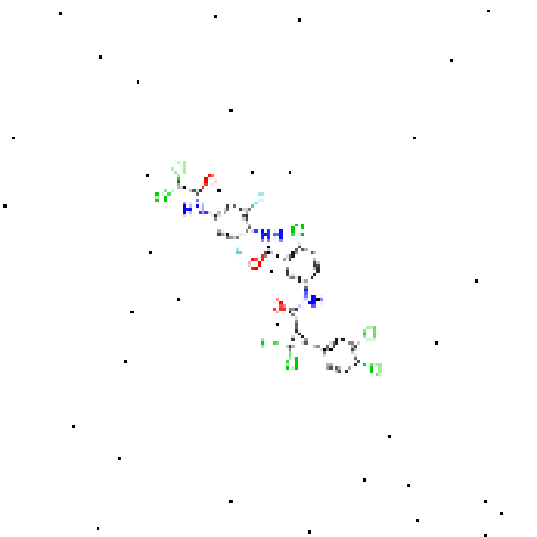 O=C(Nc1c(F)cc(NC(=O)C(Cl)Cl)cc1F)c1cc(NC(=O)[C@H]2[C@H](c3ccc(Cl)c(Cl)c3)C2(Cl)Cl)ccc1Cl